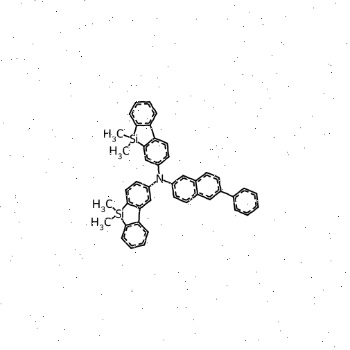 C[Si]1(C)c2ccccc2-c2cc(N(c3ccc4c(c3)[Si](C)(C)c3ccccc3-4)c3ccc4cc(-c5ccccc5)ccc4c3)ccc21